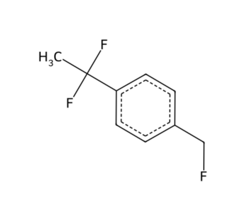 CC(F)(F)c1ccc(CF)cc1